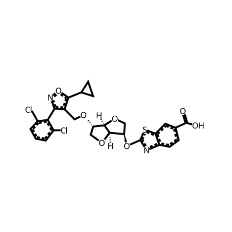 O=C(O)c1ccc2nc(O[C@@H]3CO[C@H]4[C@@H]3OC[C@@H]4OCc3c(-c4c(Cl)cccc4Cl)noc3C3CC3)sc2c1